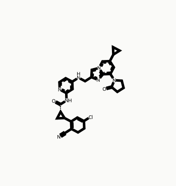 N#CC1=C(C2C[C@@H]2C(=O)Nc2cc(NCc3cn4cc(C5CC5)cc(N5CCCC5=O)c4n3)ccn2)C=C(Cl)CC1